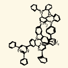 Cc1ccc2c(c1)c1cc(C)ccc1n2-c1ccc(-c2cc(-c3ccccc3)nc(-c3ccccc3)n2)cc1-c1nc(-c2ccccc2)cc(-c2cccc(-c3ccc(N4c5ccccc5B5c6ccccc6N(c6ccccc6)c6cccc4c65)cc3)c2)n1